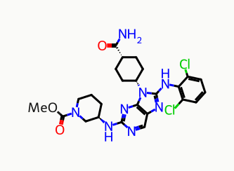 COC(=O)N1CCC[C@@H](Nc2ncc3nc(Nc4c(Cl)cccc4Cl)n([C@H]4CC[C@@H](C(N)=O)CC4)c3n2)C1